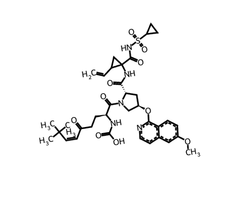 C=CC1CC1(NC(=O)[C@@H]1C[C@@H](Oc2nccc3cc(OC)ccc23)CN1C(=O)[C@H](CCC(=O)/C=C\C(C)(C)C)NC(=O)O)C(=O)NS(=O)(=O)C1CC1